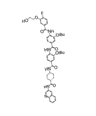 CC(C)COc1cc(C(=O)Nc2ccc(C(=O)NC3CCC(C(=O)Nc4cnc5ccccc5c4)CC3)cc2OCC(C)C)ccc1NC(=O)c1ccc(F)c(OCCO)c1